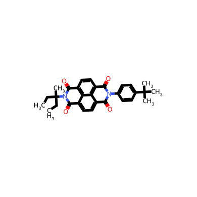 CCC(C)(CC)N1C(=O)c2ccc3c4c(ccc(c24)C1=O)C(=O)N(c1ccc(C(C)(C)C)cc1)C3=O